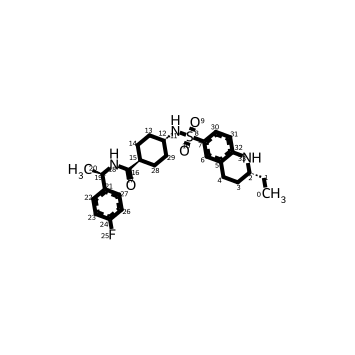 CC[C@@H]1CCc2cc(S(=O)(=O)N[C@H]3CC[C@H](C(=O)N[C@H](C)c4ccc(F)cc4)CC3)ccc2N1